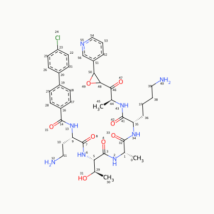 C[C@H](NC(=O)[C@@H](NC(=O)[C@H](CCN)NC(=O)c1ccc(-c2ccc(Cl)cc2)cc1)[C@@H](C)O)C(=O)N[C@@H](CCCCN)C(=O)N[C@@H](C)C(=O)C1OC1c1cccnc1